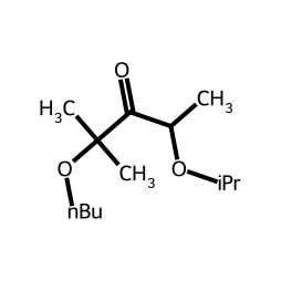 CCCCOC(C)(C)C(=O)C(C)OC(C)C